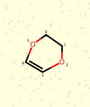 [C]1COC=CO1